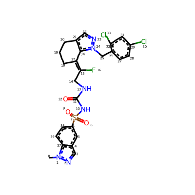 Cn1ncc2cc(S(=O)(=O)NC(=O)NCC(F)=C3CCCc4cnn(Cc5ccc(Cl)cc5Cl)c43)ccc21